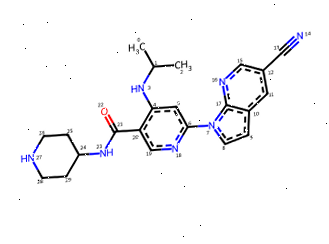 CC(C)Nc1cc(-n2ccc3cc(C#N)cnc32)ncc1C(=O)NC1CCNCC1